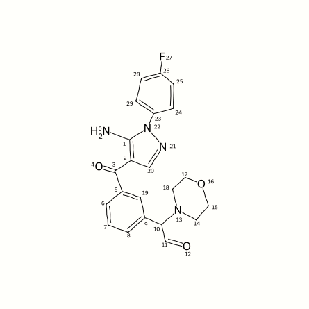 Nc1c(C(=O)c2cccc(C(C=O)N3CCOCC3)c2)cnn1-c1ccc(F)cc1